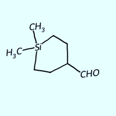 C[Si]1(C)CCC(C=O)CC1